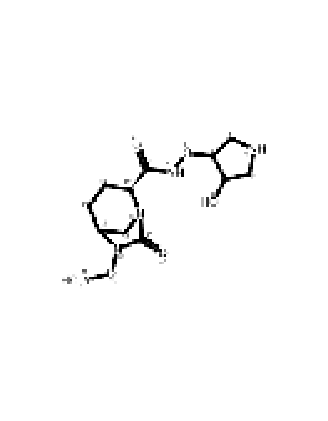 O=C(NOC1CNCC1O)[C@@H]1CCC2CN1C(=O)N2OS(=O)(=O)O